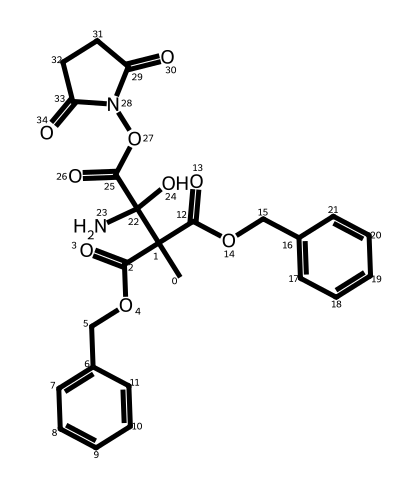 CC(C(=O)OCc1ccccc1)(C(=O)OCc1ccccc1)C(N)(O)C(=O)ON1C(=O)CCC1=O